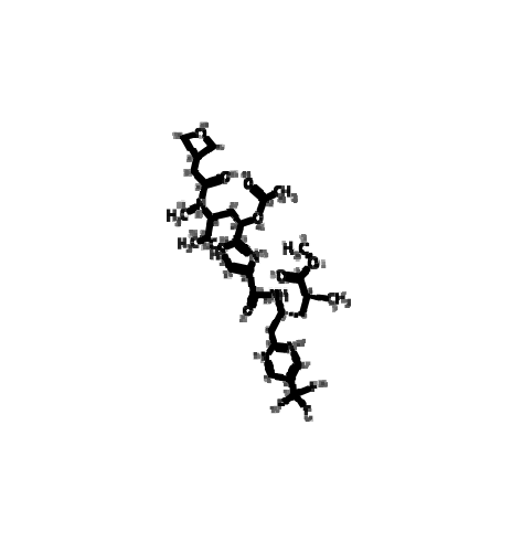 COC(=O)[C@@H](C)C[C@H](Cc1ncc(C(F)(F)F)cn1)NC(=O)c1csc([C@@H](CC(C(C)C)N(C)C(=O)CC2COC2)OC(C)=O)n1